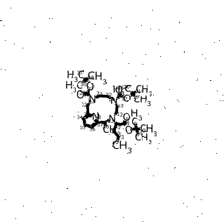 CCCC(C(=O)OC(C)(C)C)N1CCN(C(=O)OC(C)(C)C)CCN(C(=O)OC(C)(C)C)Cc2cccc(n2)C1C